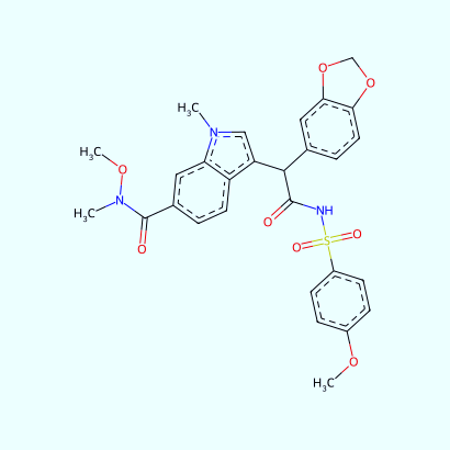 COc1ccc(S(=O)(=O)NC(=O)C(c2ccc3c(c2)OCO3)c2cn(C)c3cc(C(=O)N(C)OC)ccc23)cc1